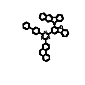 c1ccc(-c2ccc(-c3nc(-c4ccc5c(ccc6ccccc65)c4)nc(-c4cc(-n5c6ccccc6c6cc7ccccc7cc65)c5oc6ccccc6c5c4)n3)cc2)cc1